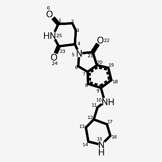 O=C1CCC(N2Cc3cc(NCC4CCNCC4)ccc3C2=O)C(=O)N1